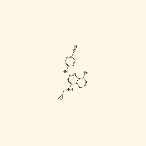 N#Cc1ccc(Nc2nc(NCC3CC3)c3cccc(Br)c3n2)cc1